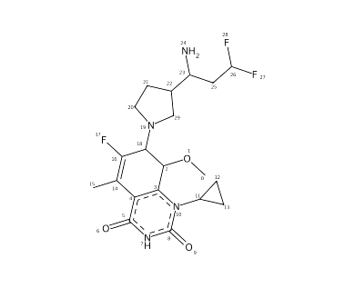 COC1c2c(c(=O)[nH]c(=O)n2C2CC2)C(C)=C(F)C1N1CCC(C(N)CC(F)F)C1